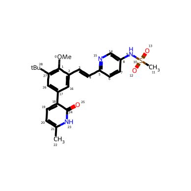 COc1c(/C=C/c2ccc(NS(C)(=O)=O)cn2)cc(-c2ccc(C)[nH]c2=O)cc1C(C)(C)C